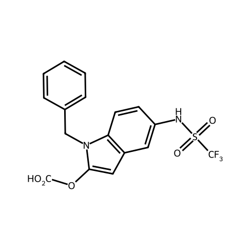 O=C(O)Oc1cc2cc(NS(=O)(=O)C(F)(F)F)ccc2n1Cc1ccccc1